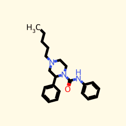 CCCCCN1CCN(C(=O)Nc2ccccc2)C(c2ccccc2)C1